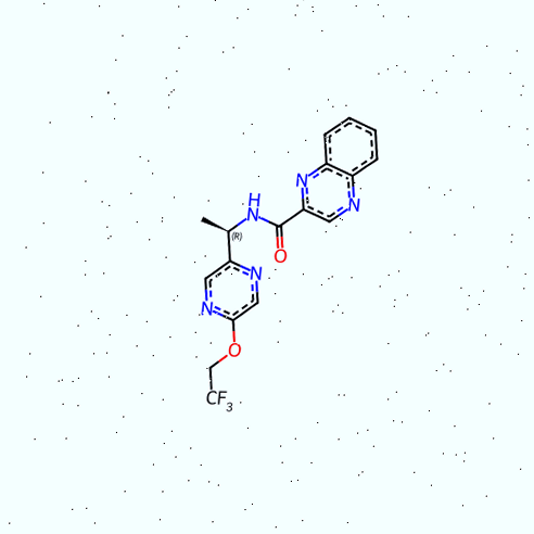 C[C@@H](NC(=O)c1cnc2ccccc2n1)c1cnc(OCC(F)(F)F)cn1